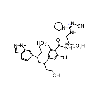 N#C/N=C(\NC[C@H](NC(=O)c1c(Cl)cc(C(CCO)CC(CCO)c2ccc3cn[nH]c3c2)cc1Cl)C(=O)O)N1CCCC1